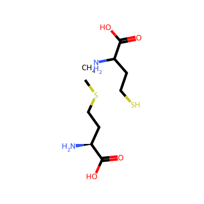 C.CSCC[C@H](N)C(=O)O.NC(CCS)C(=O)O